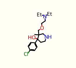 CCN(CC)CCOCC1(C)CNCCC1(O)c1ccc(Cl)cc1